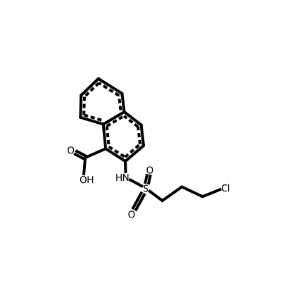 O=C(O)c1c(NS(=O)(=O)CCCCl)ccc2ccccc12